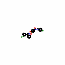 O=C(NCc1ccc(F)cc1)c1ccc(S(=O)(=O)n2cc(-c3cccc(Cl)c3)c3ccccc32)cc1